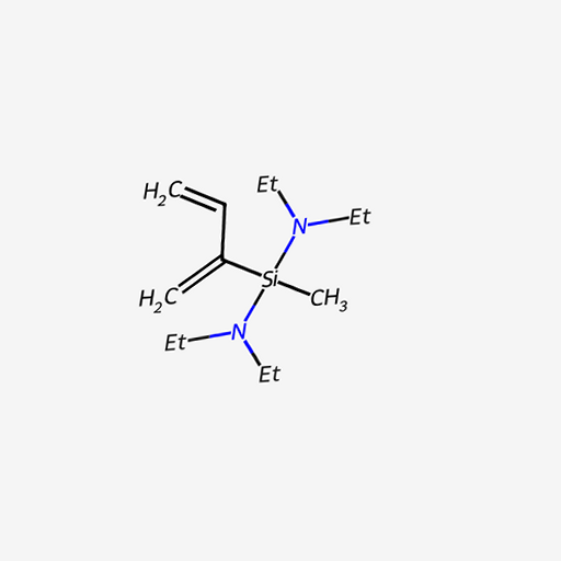 C=CC(=C)[Si](C)(N(CC)CC)N(CC)CC